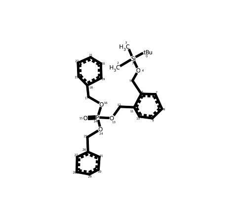 CC(C)(C)[Si](C)(C)OCc1ccccc1COP(=O)(OCc1ccccc1)OCc1ccccc1